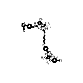 CC(C)(C)[C@H](NC(=O)COCCCCCNc1ccc(C(=O)N[C@H]2C(C)(C)[C@H](Oc3ccc(C#N)c(Cl)c3)C2(C)C)cc1)C(=O)N1C[C@H](O)C[C@H]1C(=O)NCc1ccc(-c2scnc2C#N)cc1